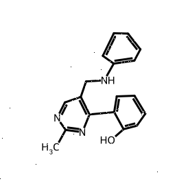 Cc1ncc(CNc2ccccc2)c(-c2ccccc2O)n1